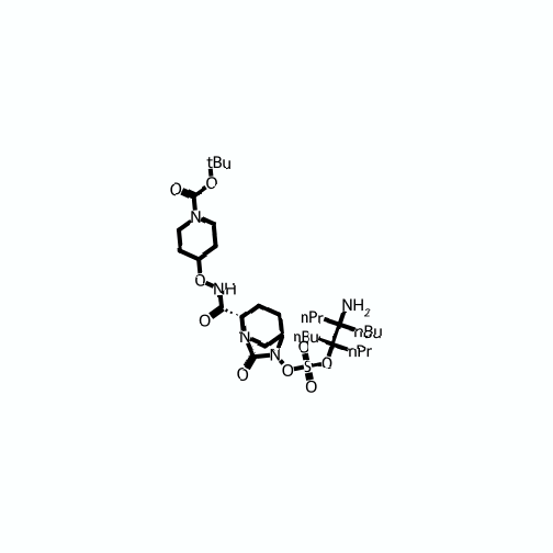 CCCCC(N)(CCC)C(CCC)(CCCC)OS(=O)(=O)ON1C(=O)N2CC1CC[C@H]2C(=O)NOC1CCN(C(=O)OC(C)(C)C)CC1